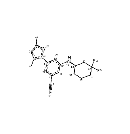 Cc1cc(C)n(-c2nc(C#N)cc(NC3CCCC(F)(F)C3)n2)n1